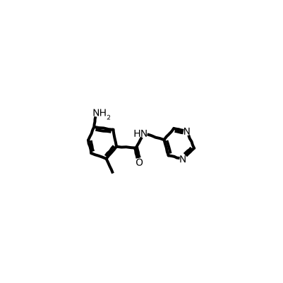 Cc1ccc(N)cc1C(=O)Nc1cncnc1